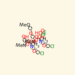 CNC(=O)c1ccc(O)cc1OCC(C)(O)CN1CCC2(CC1)Cc1cc(Cl)ccc1O2.CNC(=O)c1ccc(OCc2ccc(OC)cc2)cc1OCC(C)(O)CN1CCC2(CC1)Cc1cc(Cl)ccc1O2.O=C(O)C(F)(F)F